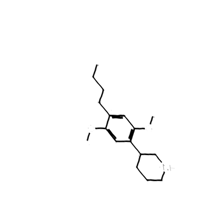 CCCCc1cc(OC)c(C2CCCNC2)cc1OC